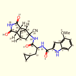 COc1cccc2[nH]c(C(=O)NC(CC3CC3)C(=O)NC3(C#N)C[C@H]4C[C@@H]3[C@H]3C(=O)NC(=O)[C@@H]43)cc12